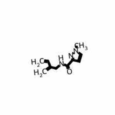 C=CC(=C)CNC(=O)c1ccn(C)n1